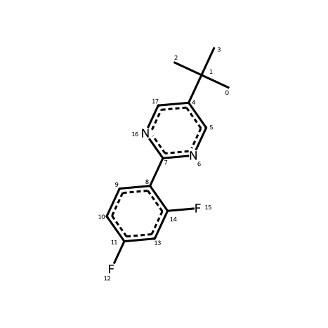 CC(C)(C)c1cnc(-c2ccc(F)cc2F)nc1